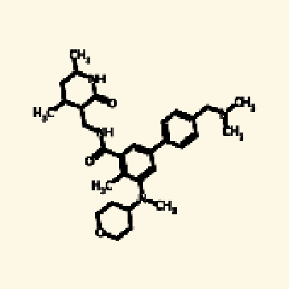 Cc1c(C(=O)NCC2C(=O)NC(C)CC2C)cc(-c2ccc(CN(C)C)cc2)cc1N(C)C1CCOCC1